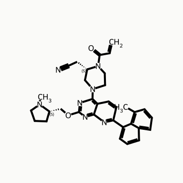 C=CC(=O)N1CCN(c2nc(OC[C@@H]3CCCN3C)nc3nc(-c4cccc5cccc(C)c45)ccc23)C[C@@H]1CC#N